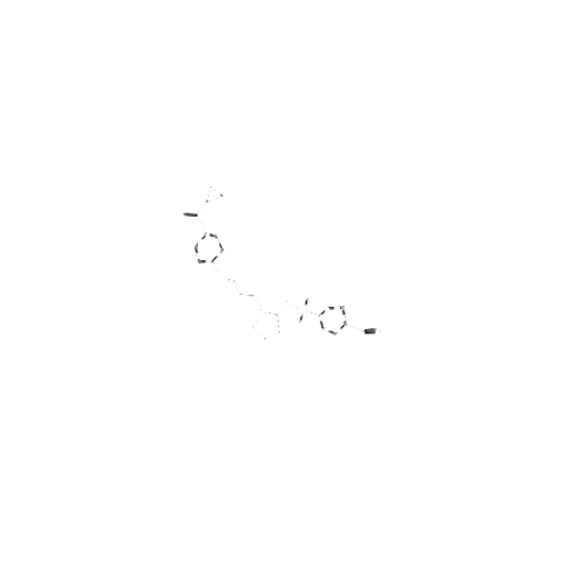 N#Cc1ccc(S(=O)(=O)NC2CCCN2CCCOc2ccc(C(=O)C3CC3)cc2)cc1